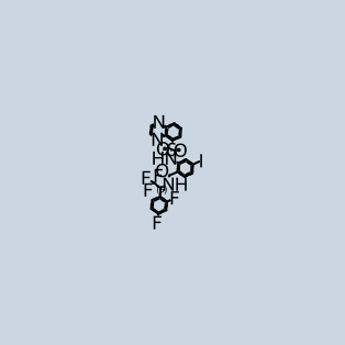 O=C(N[C@@H](c1ccc(F)cc1F)C(F)(F)F)c1ccc(I)cc1NS(=O)(=O)c1cccc2nccnc12